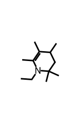 CCN1C(C)=C(C)C(C)CC1(C)C